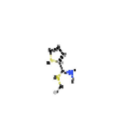 CCS/C(=N\C)c1cccs1